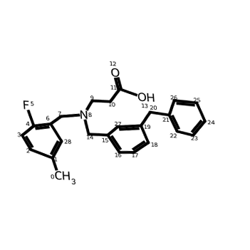 Cc1ccc(F)c(CN(CCC(=O)O)Cc2cccc(Cc3ccccc3)c2)c1